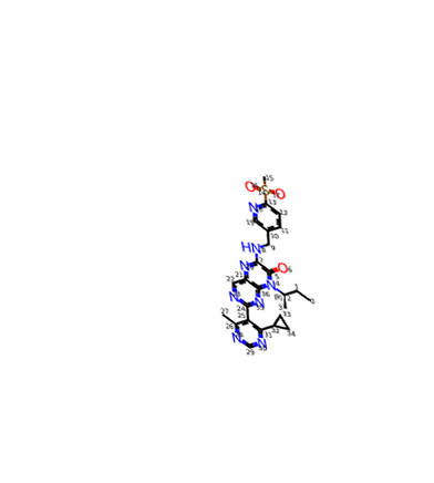 CC[C@@H](C)n1c(=O)c(NCc2ccc(S(C)(=O)=O)nc2)nc2cnc(-c3c(C)ncnc3C3CC3)nc21